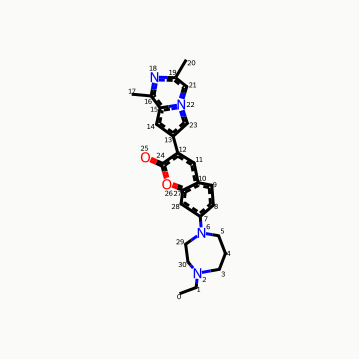 CCN1CCCN(c2ccc3cc(-c4cc5c(C)nc(C)cn5c4)c(=O)oc3c2)CC1